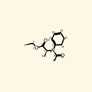 CCOC(=O)[C@H](C)N(C(C)=O)C1=CC=CCC1